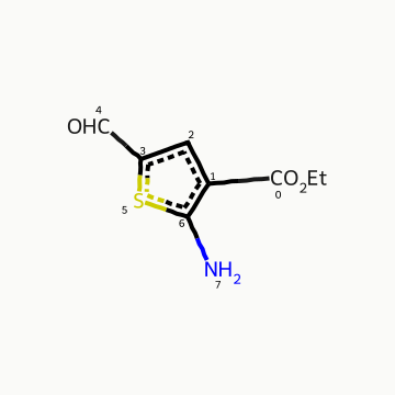 CCOC(=O)c1cc(C=O)sc1N